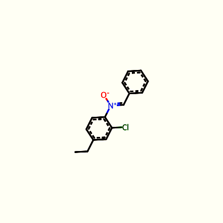 CCc1ccc([N+]([O-])=Cc2ccccc2)c(Cl)c1